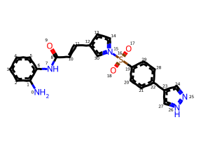 Nc1ccccc1NC(=O)/C=C/c1ccn(S(=O)(=O)c2ccc(-c3cn[nH]c3)cc2)c1